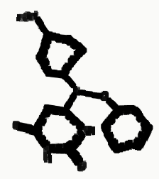 CCCCCCCCc1ccc(N(Oc2ccccc2)c2cc(=O)[nH]c(=O)[nH]2)cc1